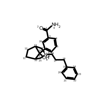 NC(=O)c1cccc(C2(O)C3CCC2CN(CCCc2ccccc2)C3)c1